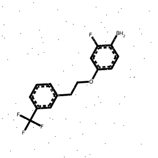 Bc1ccc(OCCc2cccc(C(F)(F)F)c2)cc1F